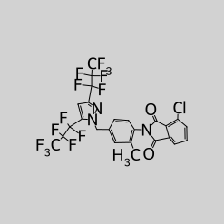 Cc1cc(Cn2nc(C(F)(F)C(F)(F)C(F)(F)F)cc2C(F)(F)C(F)(F)C(F)(F)F)ccc1N1C(=O)c2cccc(Cl)c2C1=O